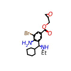 CCNC(c1cc(C(=O)OCC2CO2)cc(Br)c1N)C1CCCCC1